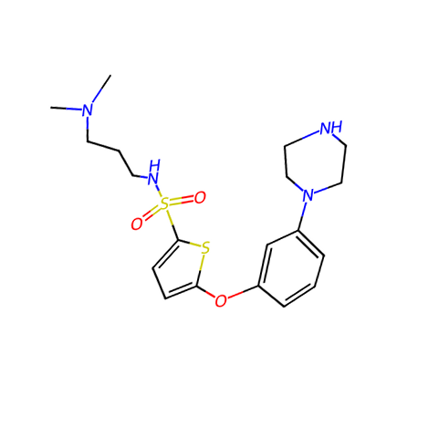 CN(C)CCCNS(=O)(=O)c1ccc(Oc2cccc(N3CCNCC3)c2)s1